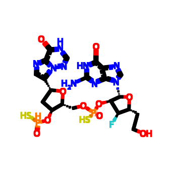 Nc1nc2c(ncn2[C@@H]2O[C@H](CCO)[C@@H](F)[C@H]2OP(=O)(S)OC[C@H]2O[C@@H](c3cnc4c(=O)[nH]cnn34)C[C@@H]2O[PH](=O)S)c(=O)[nH]1